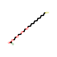 O=C(Cl)OCCOCCOCCOCCCCCCCCCCCS